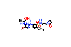 CC[C@H](CO)Nc1nc(Nc2ccc(C)c(S(=O)(=O)NCCCN3CCCC3=O)c2)ncc1Br